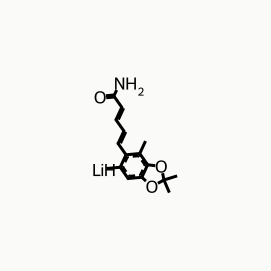 Cc1cc2c(c(C)c1C=CC=CC(N)=O)OC(C)(C)O2.[LiH]